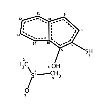 C[S+](C)[O-].Oc1c(S)ccc2ccccc12